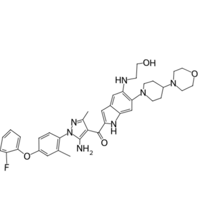 Cc1cc(Oc2ccccc2F)ccc1-n1nc(C)c(C(=O)c2cc3cc(NCCO)c(N4CCC(N5CCOCC5)CC4)cc3[nH]2)c1N